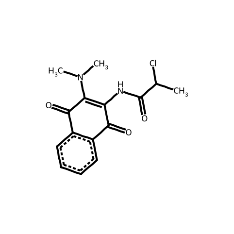 CC(Cl)C(=O)NC1=C(N(C)C)C(=O)c2ccccc2C1=O